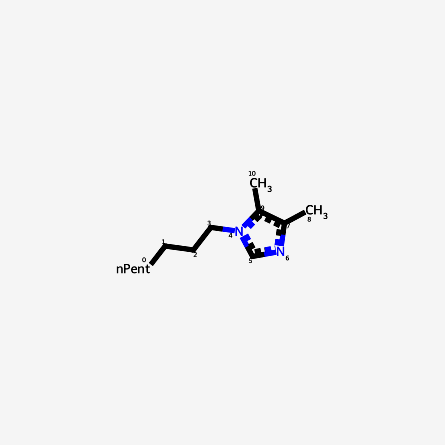 CCCCCCCCn1cnc(C)c1C